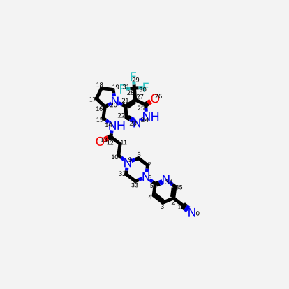 N#Cc1ccc(N2CCN(CCC(=O)NCC3CCCN3c3cn[nH]c(=O)c3C(F)(F)F)CC2)nc1